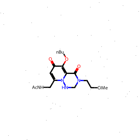 CCCCOc1c2n(c(CNC(C)=O)cc1=O)NCN(CCOC)C2=O